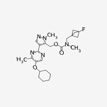 Cc1nc(-c2cnn(C)c2COC(=O)N(C)CC23CC(F)(C2)C3)ncc1OC1CCCCC1